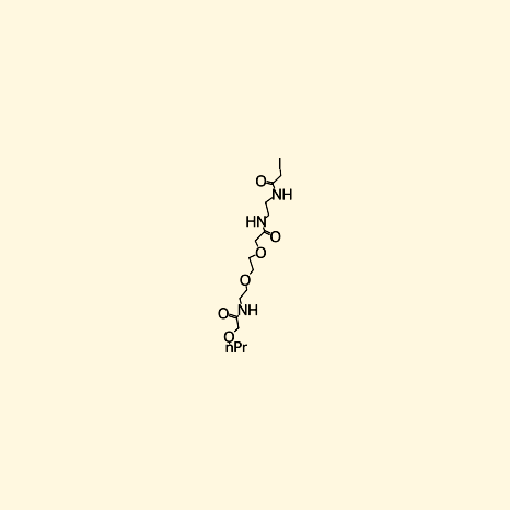 CCCOCC(=O)NCCOCCOCC(=O)NCCNC(=O)CI